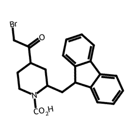 O=C(CBr)C1CCN(C(=O)O)C(CC2c3ccccc3-c3ccccc32)C1